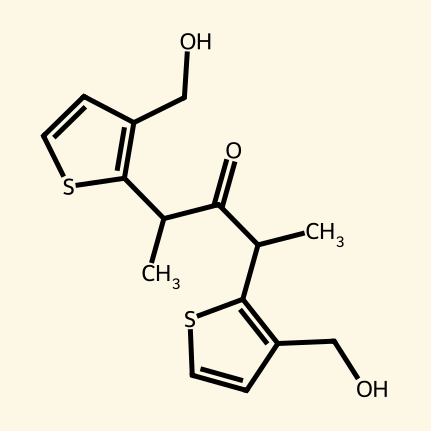 CC(C(=O)C(C)c1sccc1CO)c1sccc1CO